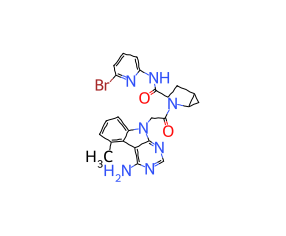 Cc1cccc2c1c1c(N)ncnc1n2CC(=O)N1C(C(=O)Nc2cccc(Br)n2)CC2CC21